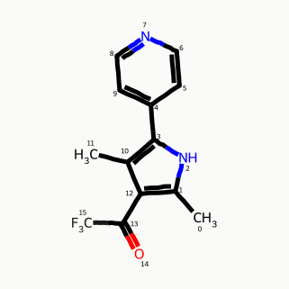 Cc1[nH]c(-c2ccncc2)c(C)c1C(=O)C(F)(F)F